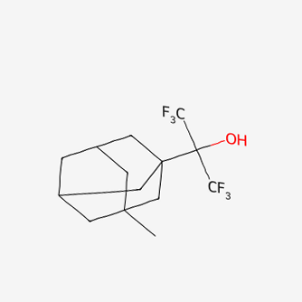 CC12CC3CC(C1)CC(C(O)(C(F)(F)F)C(F)(F)F)(C3)C2